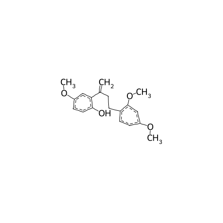 C=C(CCc1ccc(OC)cc1OC)c1cc(OC)ccc1O